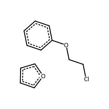 ClCCOc1ccccc1.c1ccoc1